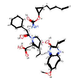 C=CCCC[C@@H]1CC1OC(=O)N[C@H](C(=O)N1C[C@H](Oc2nc3cc(OC)ccc3nc2C=C)[C@@H](CC)[C@H]1C(=O)O)C1CCCCC1